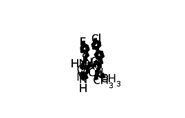 CCN(CC)CCN(Cc1ccc(-c2ccc(Cl)cc2)cc1)C(=O)Cc1nc(SCc2ccc(F)cc2)[nH]c(=O)c1C(C)c1cn[nH]c1